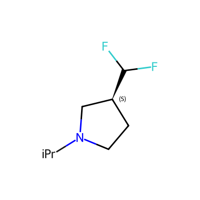 CC(C)N1CC[C@H](C(F)F)C1